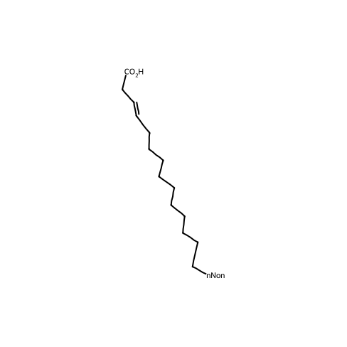 CCCCCCCCCCCCCCCCCCCC=CCC(=O)O